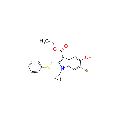 CCOC(=O)c1c(CSc2ccccc2)n(C2CC2)c2cc(Br)c(O)cc12